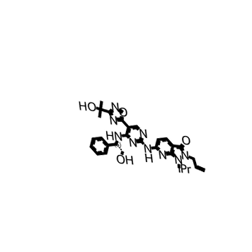 C=CCn1c(=O)c2ccc(Nc3ncc(-c4nc(C(C)(C)O)no4)c(N[C@H](CO)c4ccccc4)n3)nc2n1C(C)C